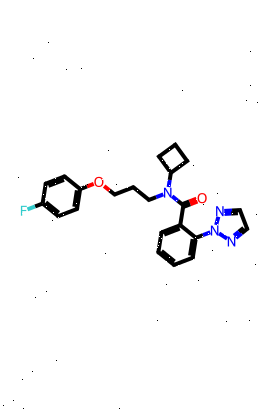 O=C(c1ccccc1-n1nccn1)N(CCCOc1ccc(F)cc1)C1CCC1